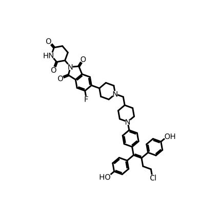 O=C1CCC(N2C(=O)c3cc(F)c(C4CCN(CC5CCN(c6ccc(C(=C(CCCl)c7ccc(O)cc7)c7ccc(O)cc7)cc6)CC5)CC4)cc3C2=O)C(=O)N1